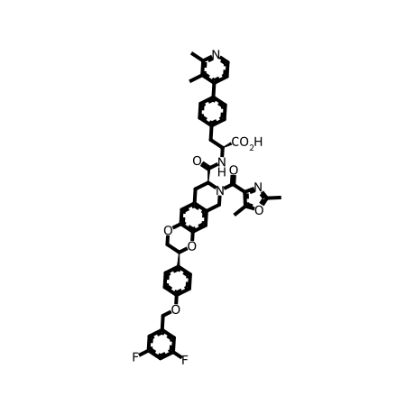 Cc1nc(C(=O)N2Cc3cc4c(cc3C[C@H]2C(=O)N[C@@H](Cc2ccc(-c3ccnc(C)c3C)cc2)C(=O)O)OC[C@H](c2ccc(OCc3cc(F)cc(F)c3)cc2)O4)c(C)o1